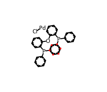 [Cl][Pd].c1ccc(P(c2ccccc2)c2ccccc2Oc2ccccc2P(c2ccccc2)c2ccccc2)cc1